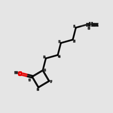 CCCCCCCCCCCC1CCC1=O